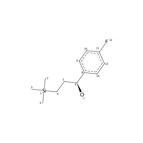 C[Si](C)(C)CC[C@H]([O])c1ccc(F)cc1